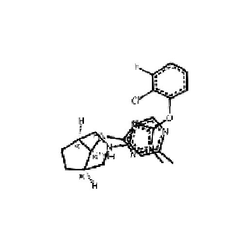 Cc1cc(N2C[C@H]3CC[C@@H](C2)[C@H]3Nc2nc(Oc3cccc(F)c3Cl)n(C)n2)ncn1